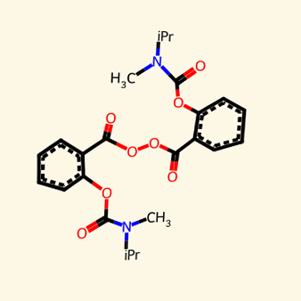 CC(C)N(C)C(=O)Oc1ccccc1C(=O)OOC(=O)c1ccccc1OC(=O)N(C)C(C)C